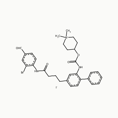 C[N+]1(C)CCC(OC(=O)Nc2cc(CCCC(=O)Nc3ccc(C=O)cc3Br)ccc2-c2ccccc2)CC1.[I-]